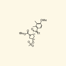 CCN(C(=O)[C@@H]1C[C@@H](OS(C)(=O)=O)CN1C(=O)OC(C)(C)C)c1ccc(OC)c(C)c1C